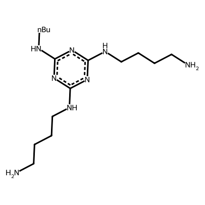 CCCCNc1nc(NCCCCN)nc(NCCCCN)n1